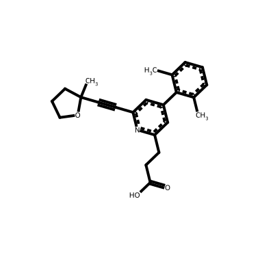 Cc1cccc(C)c1-c1cc(C#CC2(C)CCCO2)nc(CCC(=O)O)c1